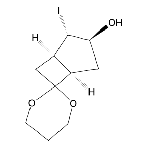 O[C@H]1C[C@@H]2[C@@H](CC23OCCCO3)[C@@H]1I